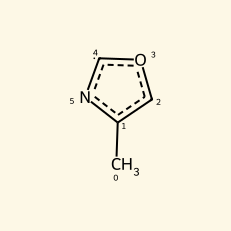 Cc1co[c]n1